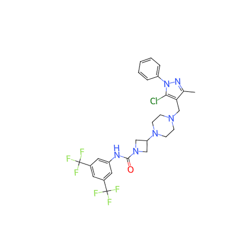 Cc1nn(-c2ccccc2)c(Cl)c1CN1CCN(C2CN(C(=O)Nc3cc(C(F)(F)F)cc(C(F)(F)F)c3)C2)CC1